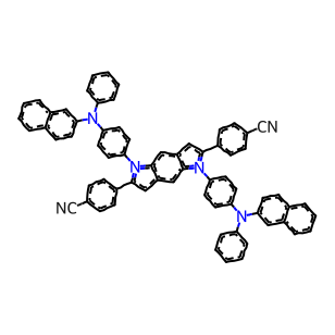 N#Cc1ccc(-c2cc3cc4c(cc(-c5ccc(C#N)cc5)n4-c4ccc(N(c5ccccc5)c5ccc6ccccc6c5)cc4)cc3n2-c2ccc(N(c3ccccc3)c3ccc4ccccc4c3)cc2)cc1